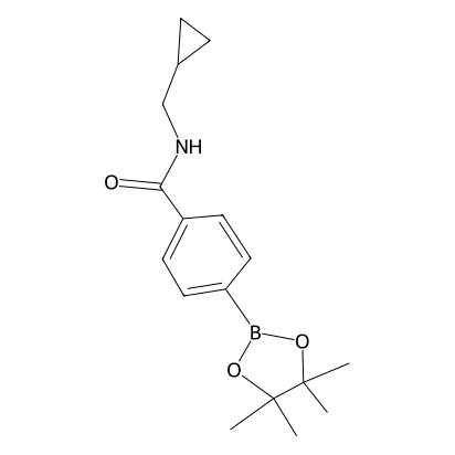 CC1(C)OB(c2ccc(C(=O)NCC3CC3)cc2)OC1(C)C